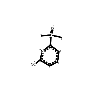 CP(C)(=O)c1cc[c]c(C#N)n1